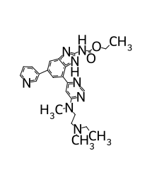 CCOC(=O)Nc1nc2cc(-c3cccnc3)cc(-c3cc(N(C)CCN(C)CC)ncn3)c2[nH]1